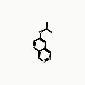 CC(C)Nc1cnc2cnncc2c1